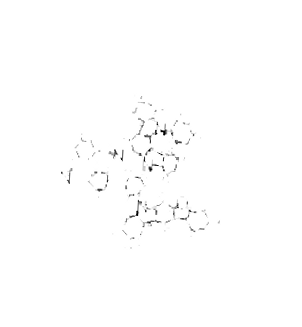 N#Cc1cccc(C#N)c1-c1cccc(-c2cc(-n3c4ccccc4c4cc5c(cc43)oc3ccccc35)cc(-n3c4ccccc4c4c3ccc3c5ccccc5n(-c5ccccc5)c34)c2)c1